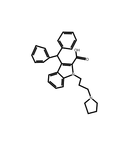 O=C(O)c1c(C(c2ccccc2)c2ccccc2)c2ccccc2n1CCCN1CCCC1